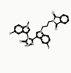 Cn1cc(-n2c(-c3cn(CCCN4C(=O)c5ccccc5C4=O)c4ccc(F)cc34)n[nH]c2=O)c2cc(F)ccc21